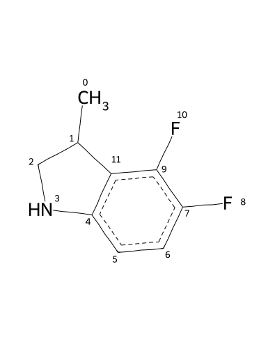 CC1CNc2ccc(F)c(F)c21